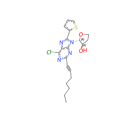 CCCCCC#Cc1nc(Cl)c2nc(-c3cccs3)n([C@@H]3OCC[C@H]3O)c2n1